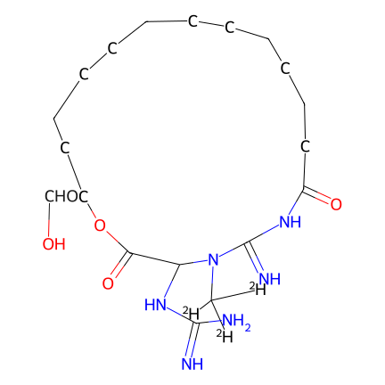 O=CO.[2H]C([2H])([2H])N1C(=N)NC(=O)CCCCCCCCCCCCOC(=O)C1NC(=N)N